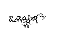 Cc1c(Nc2nccc3cc(CN4CC[C@@H](O)C4)cnc23)cccc1-c1cccc(-c2nc3cc(CN4CC[C@@H](C(=O)O)C4)cc(C#N)c3o2)c1C.O=C(O)CC(=O)O